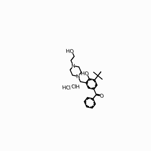 CC(C)(C)c1cc(C(=O)c2ccccc2)cc(CN2CCN(CCO)CC2)c1O.Cl.Cl